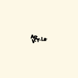 [Ag].[La].[V].[Y]